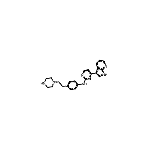 c1cnc2[nH]cc(-c3ccnc(Nc4ccc(CCN5CCNCC5)cc4)n3)c2c1